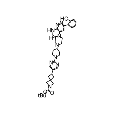 CC(C)(C)OC(=O)N1CC2(CC(c3cnc(N4CCC(N5CCN6c7cc(-c8ccccc8O)nnc7NC[C@H]6C5)CC4)nc3)C2)C1